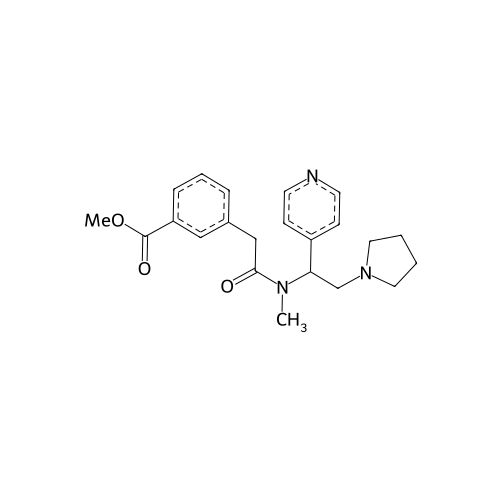 COC(=O)c1cccc(CC(=O)N(C)C(CN2CCCC2)c2ccncc2)c1